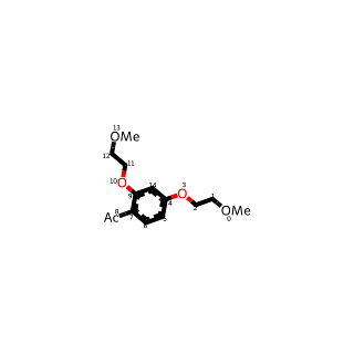 COCCOc1ccc(C(C)=O)c(OCCOC)c1